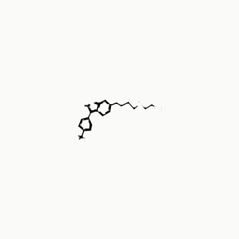 CCCNCCCCc1ccc2c(-c3ccc(C(F)(F)F)cc3)c(C)sc2c1